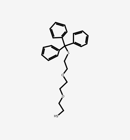 SCCOCCOCCSC(c1ccccc1)(c1ccccc1)c1ccccc1